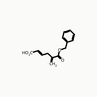 C=C(CC=CC(=O)O)C(=O)OCc1ccccc1